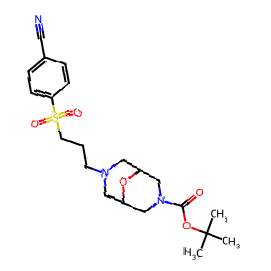 CC(C)(C)OC(=O)N1CC2CN(CCCS(=O)(=O)c3ccc(C#N)cc3)CC(C1)O2